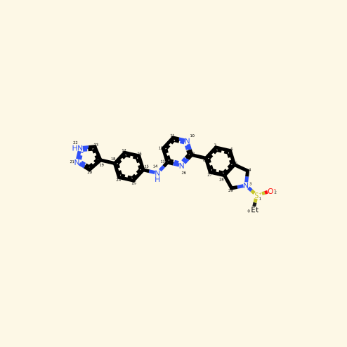 CC[S+]([O-])N1Cc2ccc(-c3nccc(Nc4ccc(-c5cn[nH]c5)cc4)n3)cc2C1